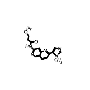 CC(C)OCCC(=O)Nc1cc2nc(-c3cncn3C)ccc2cn1